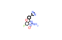 CN(C=O)/C(N)=N\C1c2cc(-c3cncnc3)ccc2OC2CC(F)CCC21